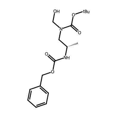 C[C@@H](CN(CO)C(=O)OC(C)(C)C)NC(=O)OCc1ccccc1